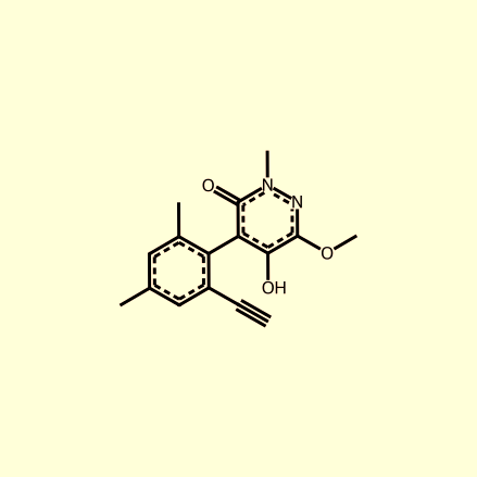 C#Cc1cc(C)cc(C)c1-c1c(O)c(OC)nn(C)c1=O